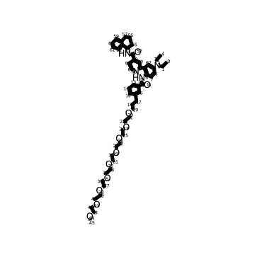 CCN(CC)c1ccc(NC(=O)c2cccc(CCCOCCOCCOCCOCCOCCOCCOCCOCCOC)c2)c(-c2cc(C(=O)NC3CCCc4ccccc43)ccn2)c1